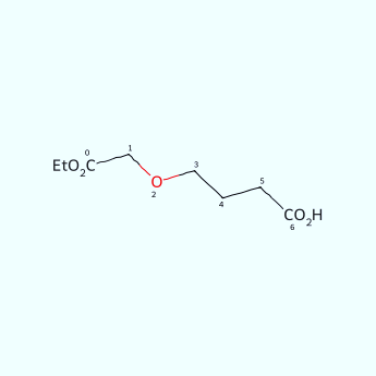 CCOC(=O)COCCCC(=O)O